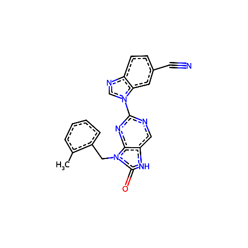 Cc1ccccc1Cn1c(=O)[nH]c2cnc(-n3cnc4ccc(C#N)cc43)nc21